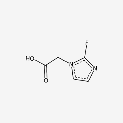 O=C(O)Cn1ccnc1F